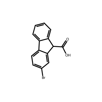 O=C(O)C1c2ccccc2-c2ccc(Br)cc21